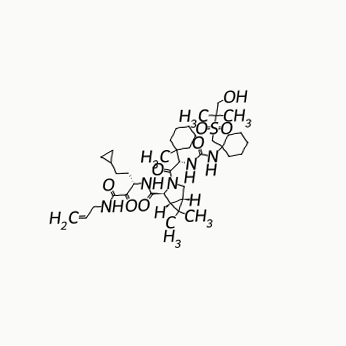 C=CCNC(=O)C(=O)[C@H](CCC1CC1)NC(=O)[C@@H]1[C@@H]2[C@H](CN1C(=O)[C@@H](NC(=O)NC1(CS(=O)(=O)C(C)(C)CO)CCCCC1)C1(C)CCCCC1)C2(C)C